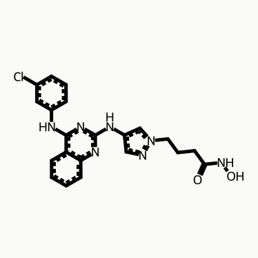 O=C(CCCn1cc(Nc2nc(Nc3cccc(Cl)c3)c3ccccc3n2)cn1)NO